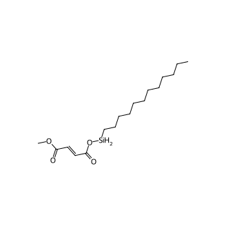 CCCCCCCCCCCC[SiH2]OC(=O)/C=C/C(=O)OC